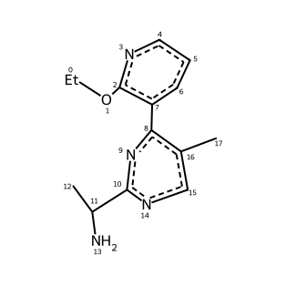 CCOc1ncccc1-c1nc(C(C)N)ncc1C